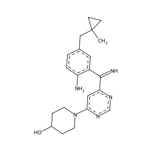 CC1(Cc2ccc(N)c(C(=N)c3cc(N4CCC(O)CC4)ncn3)c2)CC1